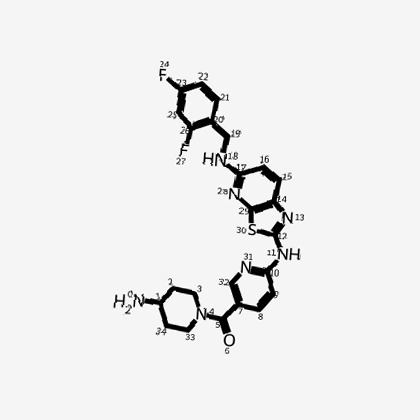 NC1CCN(C(=O)c2ccc(Nc3nc4ccc(NCc5ccc(F)cc5F)nc4s3)nc2)CC1